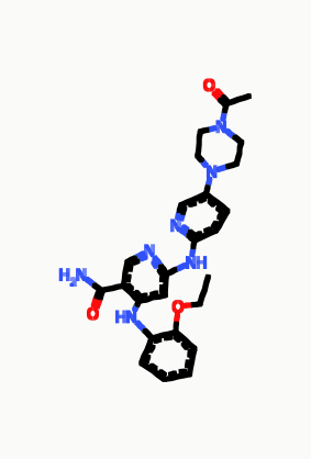 CCOc1ccccc1Nc1cc(Nc2ccc(N3CCN(C(C)=O)CC3)cn2)ncc1C(N)=O